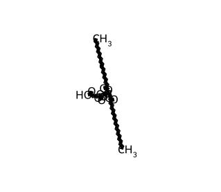 CCCCCCCCCC/C=C/CCCCCCCC(=O)OC(COC(=O)CCCCCCCCCCCCCCCCCCC)COP(=O)(O)OCCC(=O)O